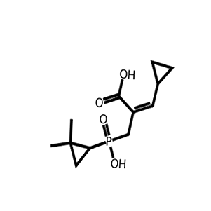 CC1(C)CC1P(=O)(O)CC(=CC1CC1)C(=O)O